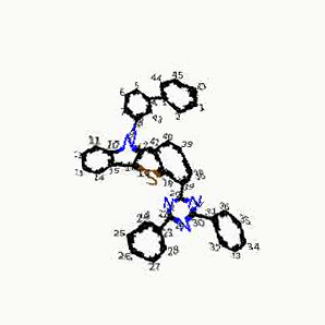 c1ccc(-c2cccc(-n3c4ccccc4c4sc5c(-c6nc(-c7ccccc7)nc(-c7ccccc7)n6)cccc5c43)c2)cc1